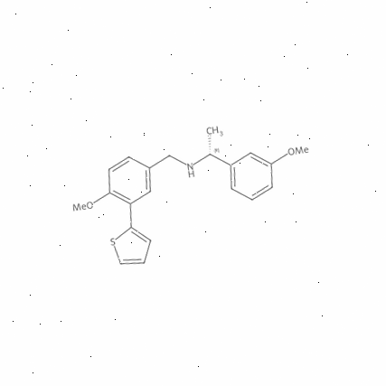 COc1cccc([C@@H](C)NCc2ccc(OC)c(-c3cccs3)c2)c1